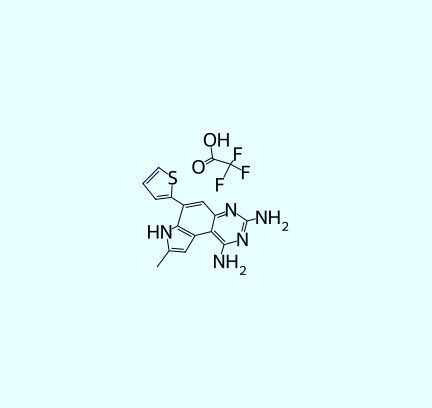 Cc1cc2c([nH]1)c(-c1cccs1)cc1nc(N)nc(N)c12.O=C(O)C(F)(F)F